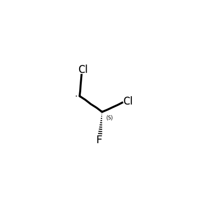 F[C@@H](Cl)[CH]Cl